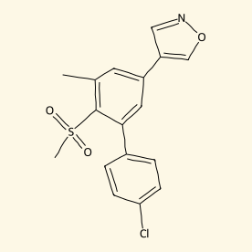 Cc1cc(-c2cnoc2)cc(-c2ccc(Cl)cc2)c1S(C)(=O)=O